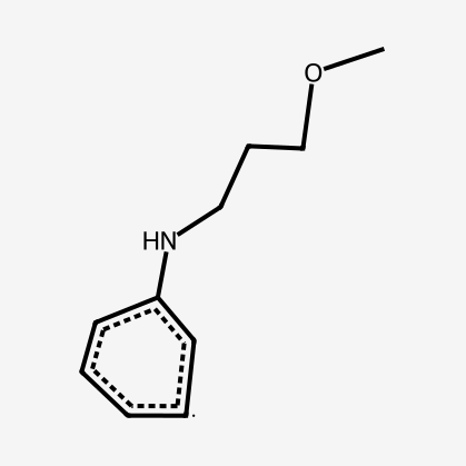 COCCCNc1c[c]ccc1